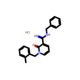 Cc1ccccc1Cn1cccc(C(=N)NCc2ccccc2)c1=O.Cl